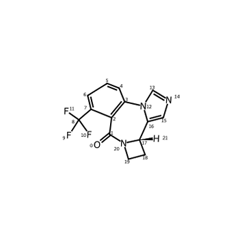 O=C1c2c(cccc2C(F)(F)F)-n2cncc2[C@@H]2CCN12